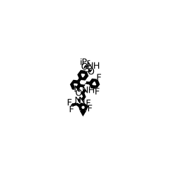 CC(C)NS(=O)(=O)c1ccc(-c2cccnc2[C@H](Cc2cc(F)cc(F)c2)NC(=O)Cn2nc(C(F)F)c3c2C(F)(F)C2CC32)cc1